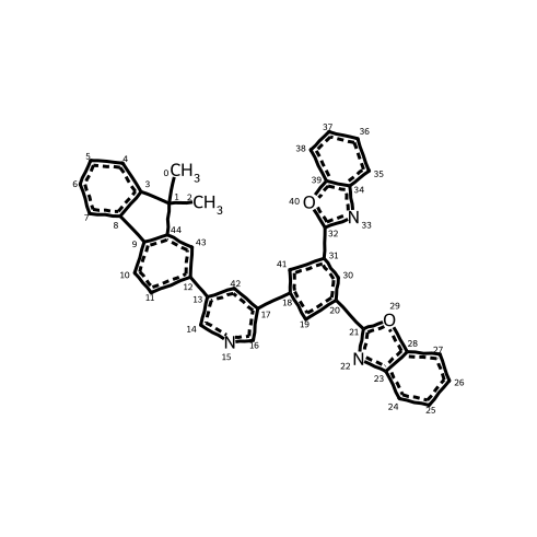 CC1(C)c2ccccc2-c2ccc(-c3cncc(-c4cc(-c5nc6ccccc6o5)cc(-c5nc6ccccc6o5)c4)c3)cc21